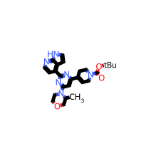 CC1COCCN1c1cc(C2=CCN(C(=O)OC(C)(C)C)CC2)nc(-c2ccnc3[nH]ccc23)n1